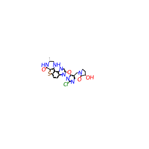 C[C@@H]1CNc2c(sc3ccc4nc(Oc5nc(Cl)ncc5CN5CCC(O)C5=O)cnc4c23)C(=O)N1